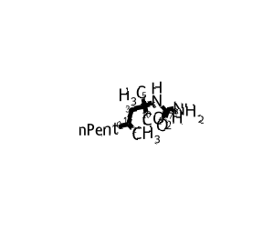 CCCCCC(C)CC(C)(NC(N)=O)C(=O)O